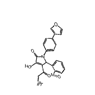 COc1ccccc1C1C(C(=O)CC(C)C)=C(O)C(=O)N1c1ccc(-c2ccoc2)cc1